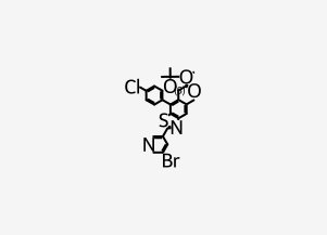 COC(=O)[C@@H](OC(C)(C)C)c1c(C)cc2nc(-c3cncc(Br)c3)sc2c1-c1ccc(Cl)cc1